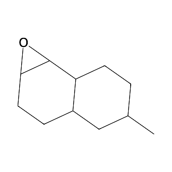 CC1CCC2C(CCC3OC32)C1